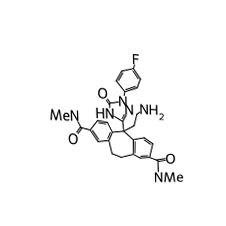 CNC(=O)c1ccc2c(c1)CCc1cc(C(=O)NC)ccc1C2(CCN)c1nn(-c2ccc(F)cc2)c(=O)[nH]1